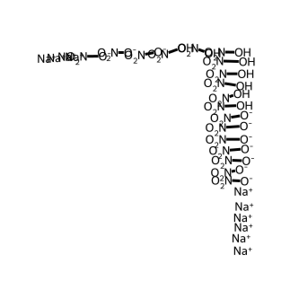 O=[N+]([O-])O.O=[N+]([O-])O.O=[N+]([O-])O.O=[N+]([O-])O.O=[N+]([O-])O.O=[N+]([O-])O.O=[N+]([O-])O.O=[N+]([O-])O.O=[N+]([O-])[O-].O=[N+]([O-])[O-].O=[N+]([O-])[O-].O=[N+]([O-])[O-].O=[N+]([O-])[O-].O=[N+]([O-])[O-].O=[N+]([O-])[O-].O=[N+]([O-])[O-].O=[N+]([O-])[O-].O=[N+]([O-])[O-].[Na+].[Na+].[Na+].[Na+].[Na+].[Na+].[Na+].[Na+].[Na+].[Na+]